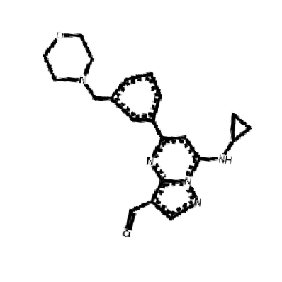 O=Cc1cnn2c(NC3CC3)cc(-c3cccc(CN4CCOCC4)c3)nc12